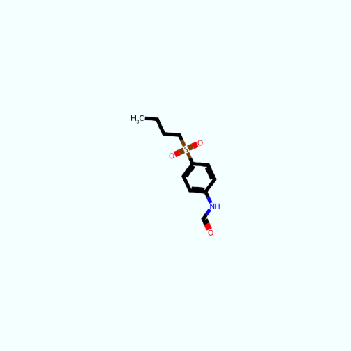 CCCCS(=O)(=O)c1ccc(NC=O)cc1